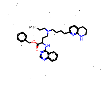 COCCN(CCCCc1ccc2c(n1)NCCC2)CCC(Nc1ncnc2ccccc12)C(=O)OCc1ccccc1